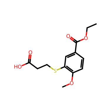 CCOC(=O)c1ccc(OC)c(SCCC(=O)O)c1